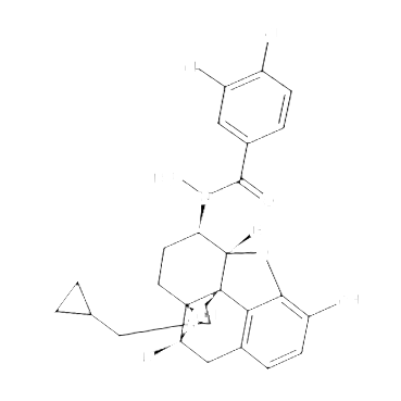 CN(C(=O)c1ccc(Cl)c(Cl)c1)[C@@H]1CC[C@@]2(O)[C@H]3Cc4ccc(O)c5c4[C@@]2(CCN3CC2CC2)[C@H]1O5